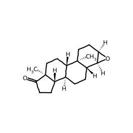 C[C@]12CC[C@H]3O[C@H]3[C@@H]1CC[C@@H]1[C@@H]2CC[C@]2(C)C(=O)CC[C@@H]12